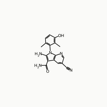 Cc1ccc(O)c(C)c1-n1c(N)c(C(N)=O)c2cc(C#N)cnc21